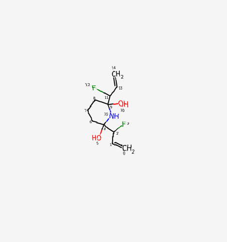 C=CC(F)C1(O)CCCC(O)(C(F)C=C)N1